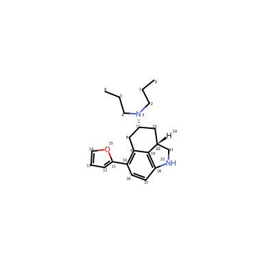 CCCN(CCC)[C@H]1Cc2c(-c3ccco3)ccc3c2[C@@H](CN3)C1